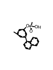 Cc1cc(OP(C)(=O)O)cc(-c2cccc3ccccc23)c1